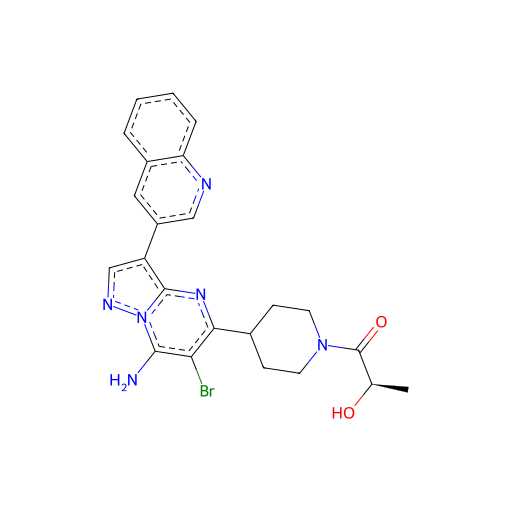 C[C@@H](O)C(=O)N1CCC(c2nc3c(-c4cnc5ccccc5c4)cnn3c(N)c2Br)CC1